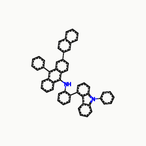 c1ccc(-c2c3ccccc3c(Nc3ccccc3-c3cccc4c3c3ccccc3n4-c3ccccc3)c3ccc(-c4ccc5ccccc5c4)cc23)cc1